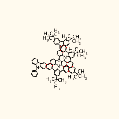 CC(C)(C)c1ccc(-c2cc3c4c(c2)N(c2c(-c5ccccc5)cc(C(C)(C)C)cc2-c2ccccc2)c2cc(-n5c6ccc(C(C)(C)C)cc6c6cc(C(C)(C)C)ccc65)ccc2B4c2ccc(-c4ccc5c(c4)c4ccccc4n5-c4ccccc4)cc2N3c2c(-c3ccccc3)cc(C(C)(C)C)cc2-c2ccccc2)cc1